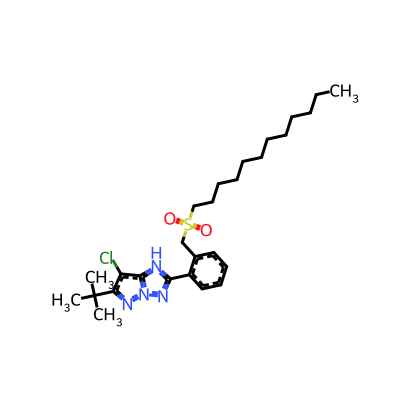 CCCCCCCCCCCCS(=O)(=O)Cc1ccccc1-c1nn2nc(C(C)(C)C)c(Cl)c2[nH]1